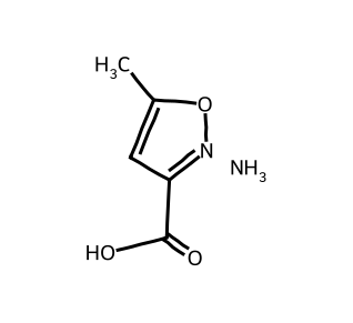 Cc1cc(C(=O)O)no1.N